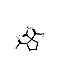 O=C(O)N1CCCC1(C(=O)O)C(=O)O